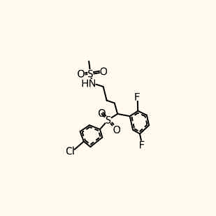 CS(=O)(=O)NCCCC(c1cc(F)ccc1F)S(=O)(=O)c1ccc(Cl)cc1